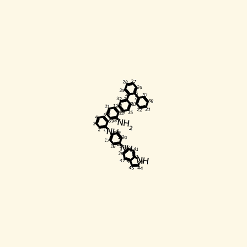 Nc1ccccc1.Nc1ccccc1.Nc1ccccc1.c1ccc(-c2ccccc2-c2ccccc2)cc1.c1ccc2[nH]ccc2c1